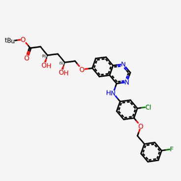 CC(C)(C)OC(=O)C[C@H](O)C[C@H](O)COc1ccc2ncnc(Nc3ccc(OCc4cccc(F)c4)c(Cl)c3)c2c1